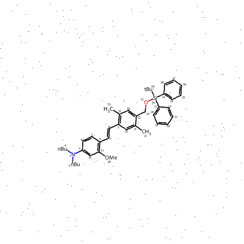 CCCCN(CCCC)c1ccc(/C=C/c2cc(C)c(CO[Si](c3ccccc3)(c3ccccc3)C(C)(C)C)cc2C)c(OC)c1